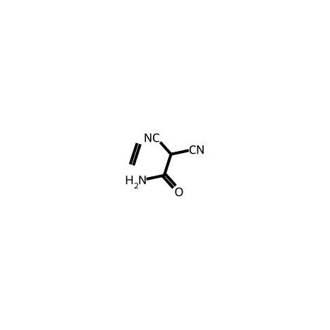 C=C.N#CC(C#N)C(N)=O